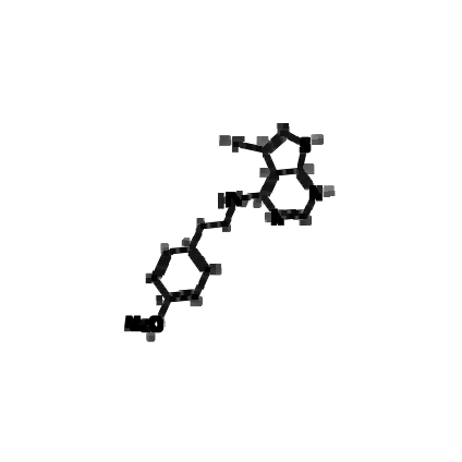 COc1ccc(CCNc2ncnc3scc(F)c23)cc1